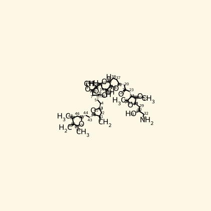 C=C1C[C@H](CC[C@]23C[C@@H](OC)[C@H](O2)[C@H]2C[C@@H](O3)[C@H]3O[C@@H](CC(=O)C[C@@H]4[C@@H](OC)[C@@H](C[C@H](O)CN)O[C@H]4C)CC[C@@H]3O2)O[C@H]1CC[C@H]1C[C@@H](C)C(=C)[C@@H](C)O1